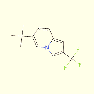 CC(C)(C)c1ccc2cc(C(F)(F)F)cn2c1